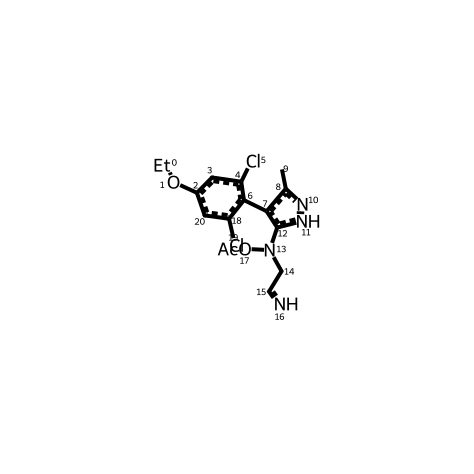 CCOc1cc(Cl)c(-c2c(C)n[nH]c2N(CC=N)OC(C)=O)c(Cl)c1